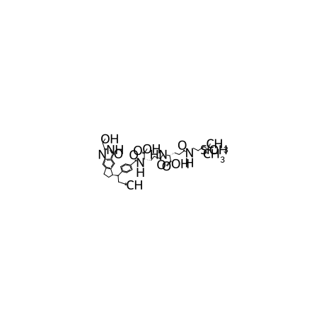 C#CCC(c1ccc(C(=O)N[C@@H](CCC(=O)N[C@H](CCC(=O)NCCC[Si](C)(C)O)C(=O)O)C(=O)O)cc1)[C@H]1CCc2cc3nc(CO)[nH]c(=O)c3cc21